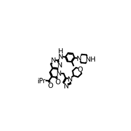 Cc1cc(Nc2ncc3cc(C(=O)C(C)C)c(=O)n(Cc4cncn4C4CCOCC4)c3n2)ccc1N1CCNCC1